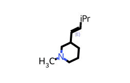 CC(C)/C=C/C1CCCN(C)C1